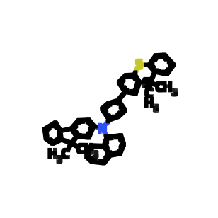 CC1(C)c2ccccc2-c2ccc(N(c3ccc(-c4ccc5c(c4)[Si](C)(C)c4ccccc4S5)cc3)c3cccc4ccccc34)cc21